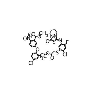 COC(=O)CSc1cc(/N=c2\sc(=O)n3n2CCCC3)c(F)cc1Cl.COC(=O)c1cc(Oc2ccc(Cl)cc2Cl)ccc1[N+](=O)[O-]